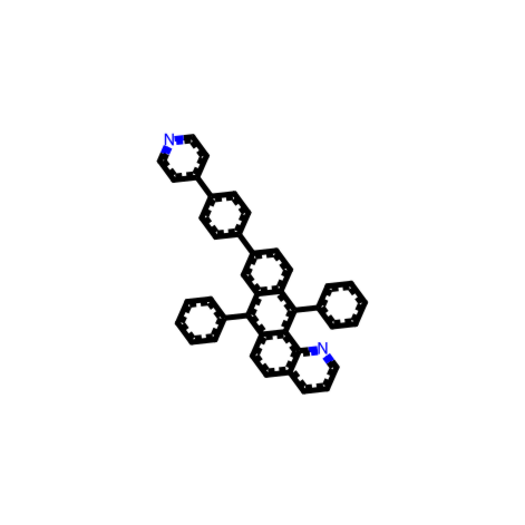 c1ccc(-c2c3cc(-c4ccc(-c5ccncc5)cc4)ccc3c(-c3ccccc3)c3c2ccc2cccnc23)cc1